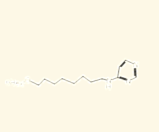 CCCCCCOCCCCCCCCNc1ccncn1